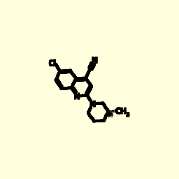 C[C@@H]1CCCN(c2cc(C#N)c3cc(Cl)ccc3n2)C1